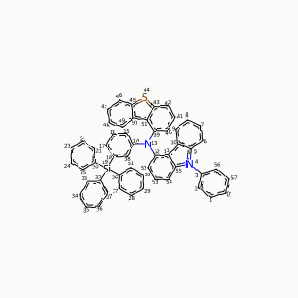 c1ccc(-n2c3ccccc3c3c(N(c4cccc([Si](c5ccccc5)(c5ccccc5)c5ccccc5)c4)c4cccc5sc6ccccc6c45)cccc32)cc1